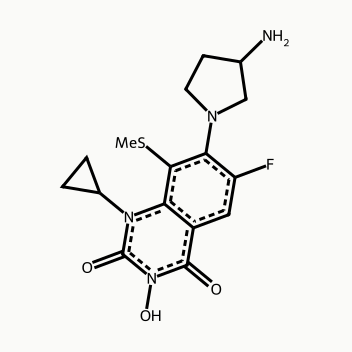 CSc1c(N2CCC(N)C2)c(F)cc2c(=O)n(O)c(=O)n(C3CC3)c12